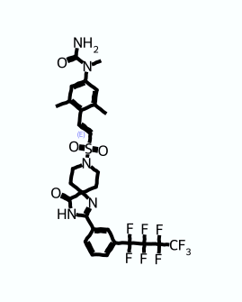 Cc1cc(N(C)C(N)=O)cc(C)c1/C=C/S(=O)(=O)N1CCC2(CC1)N=C(c1cccc(C(F)(F)C(F)(F)C(F)(F)C(F)(F)F)c1)NC2=O